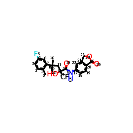 Cc1ccc(F)cc1C(C)(C)CC(O)(C(=O)Nc1ccc2c(c1)COC2=O)C(F)(F)F